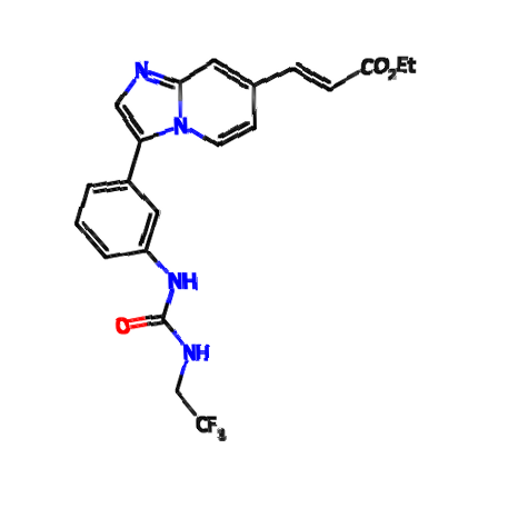 CCOC(=O)C=Cc1ccn2c(-c3cccc(NC(=O)NCC(F)(F)F)c3)cnc2c1